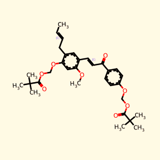 C/C=C/Cc1cc(/C=C/C(=O)c2ccc(OCOC(=O)C(C)(C)C)cc2)c(OC)cc1OCOC(=O)C(C)(C)C